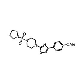 COc1ccc(-c2csc(N3CCN(S(=O)(=O)N4CCCC4)CC3)n2)cc1